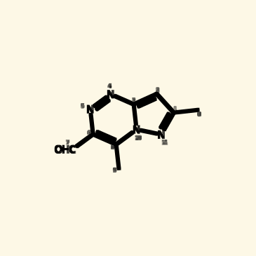 Cc1cc2nnc(C=O)c(C)n2n1